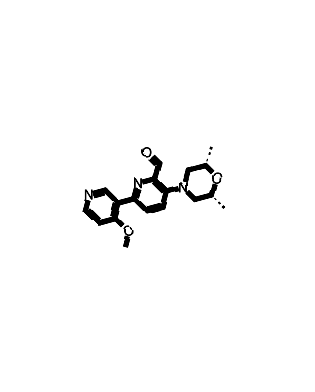 COc1ccncc1-c1ccc(N2C[C@@H](C)O[C@@H](C)C2)c(C=O)n1